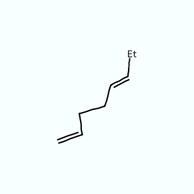 C=CCC/C=C/CC